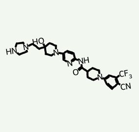 N#Cc1ccc(N2CCC(C(=O)Nc3ccc(N4CCC(O)(CCN5CCNCC5)CC4)cn3)CC2)cc1C(F)(F)F